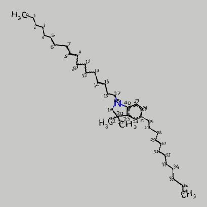 CCCCCCCCCCCCCCCCCCN1CC(C)(C)c2cc(CCCCCCCCCCCC)ccc21